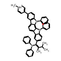 CN/C=C\C(=C/I)c1ccc2c(c1)c1ccc3c4cc(/C(=C(/C)C(C)C)N(c5ccccc5)c5ccccc5)ccc4n(-c4ccccc4)c3c1n2-c1ccccc1